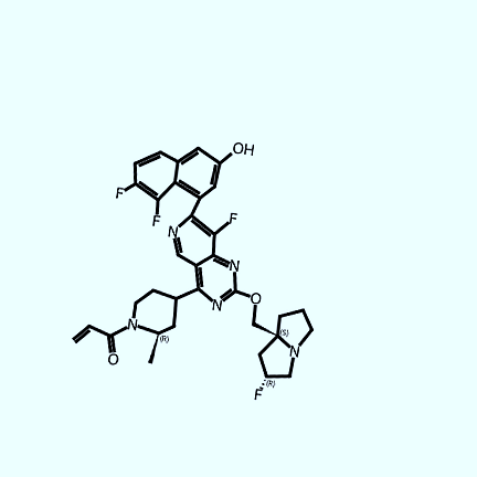 C=CC(=O)N1CCC(c2nc(OC[C@@]34CCCN3C[C@H](F)C4)nc3c(F)c(-c4cc(O)cc5ccc(F)c(F)c45)ncc23)C[C@H]1C